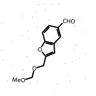 COCOCc1cc2cc(C=O)ccc2o1